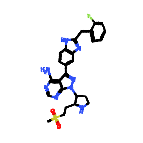 CS(=O)(=O)CCC1NCCC1n1nc(-c2ccc3[nH]c(Cc4ccccc4F)nc3c2)c2c(N)ncnc21